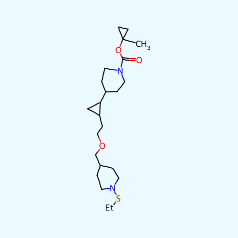 CCSN1CCC(COCCC2CC2C2CCN(C(=O)OC3(C)CC3)CC2)CC1